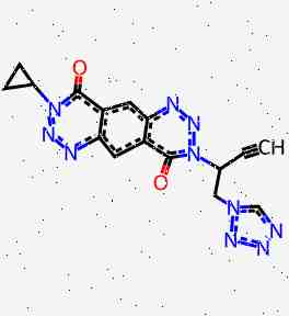 C#CC(Cn1cnnn1)n1nnc2cc3c(=O)n(C4CC4)nnc3cc2c1=O